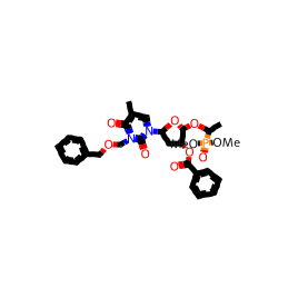 COP(=O)(OC)C(C)OC1OC(n2cc(C)c(=O)n(COCc3ccccc3)c2=O)CC1OC(=O)c1ccccc1